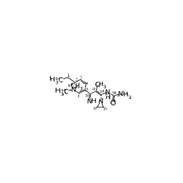 CCC/C=C\C(=C/N(C)C)C(=N)/C(C)=C(/NC(N)=O)N1CC1